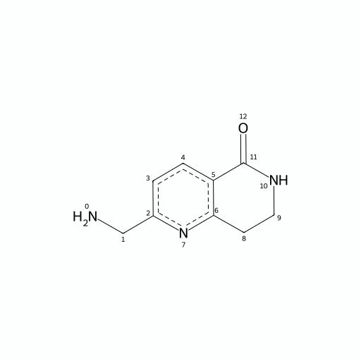 NCc1ccc2c(n1)CCNC2=O